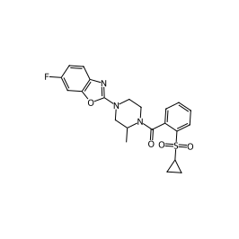 CC1CN(c2nc3ccc(F)cc3o2)CCN1C(=O)c1ccccc1S(=O)(=O)C1CC1